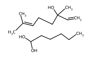 C=CC(C)(O)CCC=C(C)C.CCCCCC(O)O